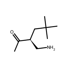 CC(=O)[C@H](CN)CC(C)(C)C